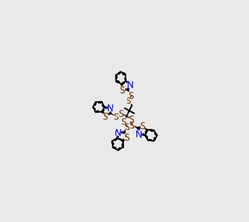 CC(C)(CSSc1nc2ccccc2s1)C(SSc1nc2ccccc2s1)(SSc1nc2ccccc2s1)SSc1nc2ccccc2s1